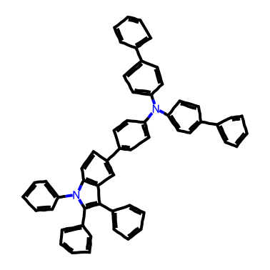 c1ccc(-c2ccc(N(c3ccc(-c4ccccc4)cc3)c3ccc(-c4ccc5c(c4)c(-c4ccccc4)c(-c4ccccc4)n5-c4ccccc4)cc3)cc2)cc1